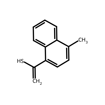 C=C(S)c1ccc(C)c2ccccc12